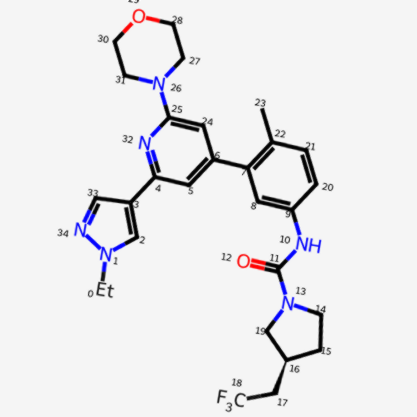 CCn1cc(-c2cc(-c3cc(NC(=O)N4CC[C@@H](CC(F)(F)F)C4)ccc3C)cc(N3CCOCC3)n2)cn1